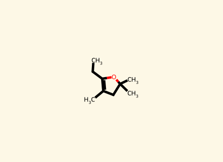 CCC1=C(C)CC(C)(C)O1